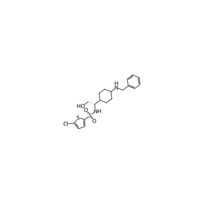 O=S(=O)(N[C@H](CO)C1CCC(NCc2ccccc2)CC1)c1ccc(Cl)s1